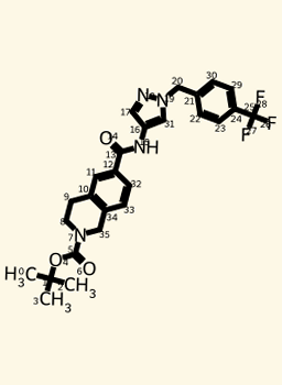 CC(C)(C)OC(=O)N1CCc2cc(C(=O)Nc3cnn(Cc4ccc(C(F)(F)F)cc4)c3)ccc2C1